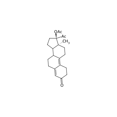 CC(=O)O[C@]1(C(C)=O)CCC2C3CCC4=CC(=O)CCC4=C3CC[C@@]21C